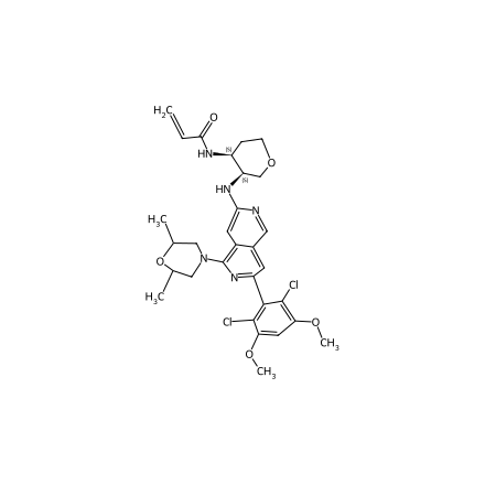 C=CC(=O)N[C@H]1CCOC[C@H]1Nc1cc2c(N3CC(C)OC(C)C3)nc(-c3c(Cl)c(OC)cc(OC)c3Cl)cc2cn1